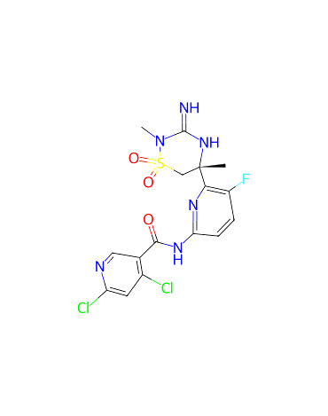 CN1C(=N)N[C@](C)(c2nc(NC(=O)c3cnc(Cl)cc3Cl)ccc2F)CS1(=O)=O